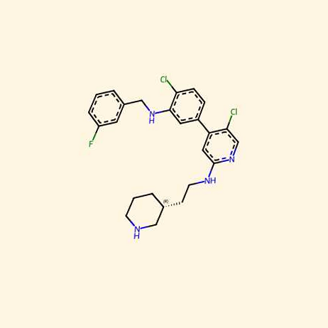 Fc1cccc(CNc2cc(-c3cc(NCC[C@H]4CCCNC4)ncc3Cl)ccc2Cl)c1